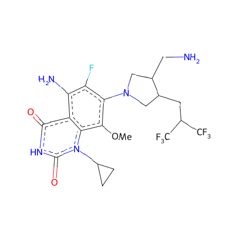 COc1c(N2CC(CN)C(CC(C(F)(F)F)C(F)(F)F)C2)c(F)c(N)c2c(=O)[nH]c(=O)n(C3CC3)c12